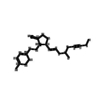 CCC#CCC(C)C/C=C/C1CCC(=O)N1CCC1=CC=C(C)CC1